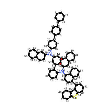 c1ccc(-c2ccc(-c3ccc(N(c4cccc(-c5ccccc5N(c5ccc6ccccc6c5)c5ccc(-c6cccc7sc8ccccc8c67)c6ccccc56)c4)c4ccc5ccccc5c4)cc3)cc2)cc1